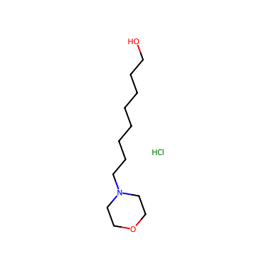 Cl.OCCCCCCCCN1CCOCC1